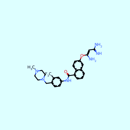 CN1CCN(Cc2ccc(NC(=O)c3cccc4cc(O/C(N)=C/C(=N)N)ccc34)cc2C(F)(F)F)CC1